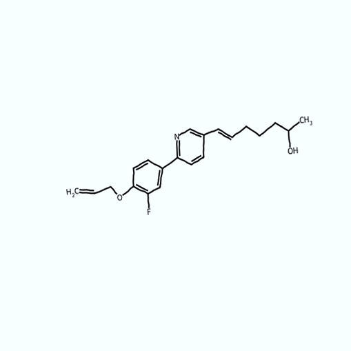 C=CCOc1ccc(-c2ccc(C=CCCCC(C)O)cn2)cc1F